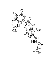 CC[C@@H]1CN(c2nc(=O)n(C)c3ccc(C#N)nc23)[C@@H](C)CN1C(C(=O)NNC(=O)C1CC1)C(C)C